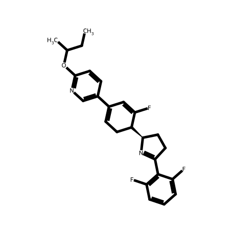 CCC(C)Oc1ccc(C2=CCC([C@H]3CCC(c4c(F)cccc4F)=N3)C(F)=C2)cn1